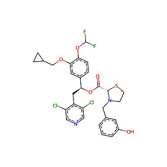 O=C(O[C@@H](Cc1c(Cl)cncc1Cl)c1ccc(OC(F)F)c(OCC2CC2)c1)[C@@H]1SCCN1Cc1cccc(O)c1